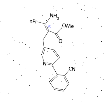 CCC/C(N)=C(\Cc1ccc(-c2ccccc2C#N)nc1)C(=O)OC